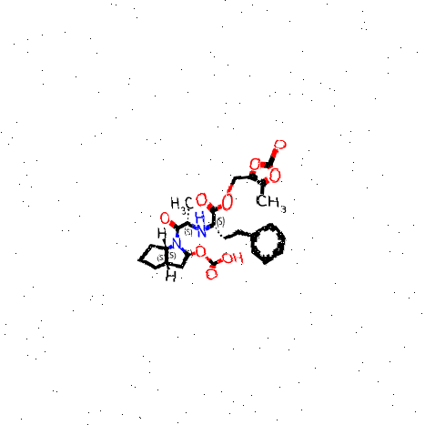 Cc1oc(=O)oc1COC(=O)[C@H](CCc1ccccc1)N[C@@H](C)C(=O)N1[C@@H](OC(=O)O)C[C@@H]2CCC[C@@H]21